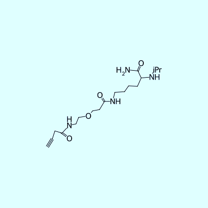 C#CCC(=O)NCCOCCC(=O)NCCCCC(NC(C)C)C(N)=O